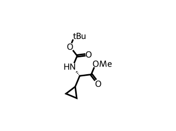 COC(=O)[C@@H](NC(=O)OC(C)(C)C)C1CC1